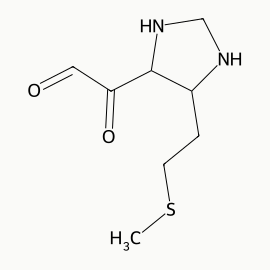 CSCCC1NCNC1C(=O)C=O